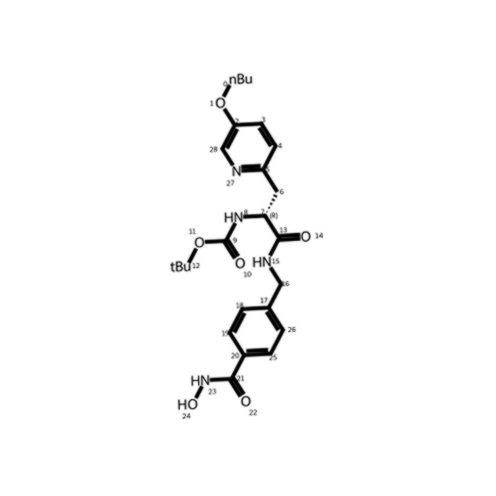 CCCCOc1ccc(C[C@@H](NC(=O)OC(C)(C)C)C(=O)NCc2ccc(C(=O)NO)cc2)nc1